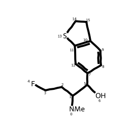 CNC(CCF)C(O)c1ccc2c(c1)SCC2